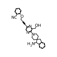 N#Cc1ccccc1OCC#Cc1cnc(N2CCC3(CC2)Cc2ccccc2C3N)c(CO)n1